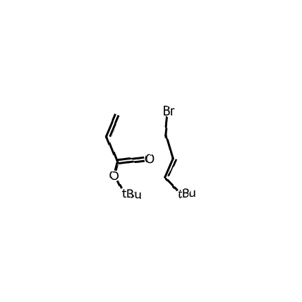 C=CC(=O)OC(C)(C)C.CC(C)(C)C=CCBr